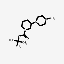 CN1CCN(C2CCCN(C(=O)OC(C)(C)C)C2)CC1